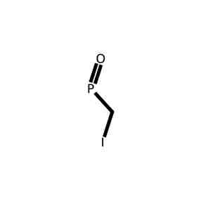 O=PCI